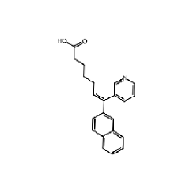 O=C(O)CCCC/C=C(\c1cccnc1)c1ccc2ccccc2c1